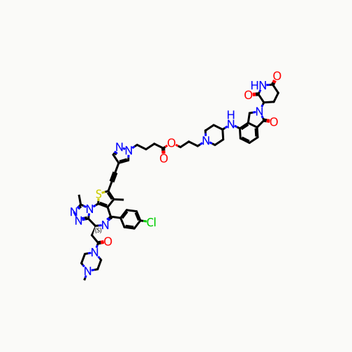 Cc1c(C#Cc2cnn(CCCC(=O)OCCCN3CCC(Nc4cccc5c4CN(C4CCC(=O)NC4=O)C5=O)CC3)c2)sc2c1C(c1ccc(Cl)cc1)=N[C@@H](CC(=O)N1CCN(C)CC1)c1nnc(C)n1-2